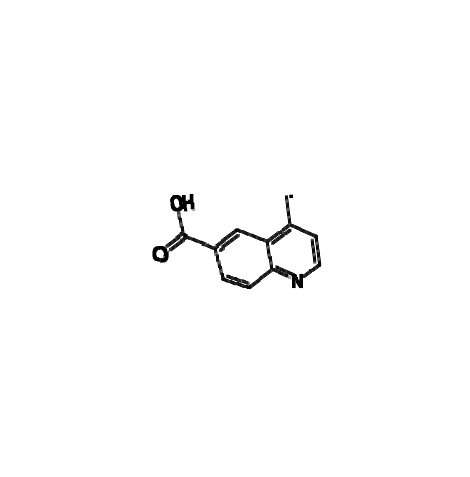 [CH2]c1ccnc2ccc(C(=O)O)cc12